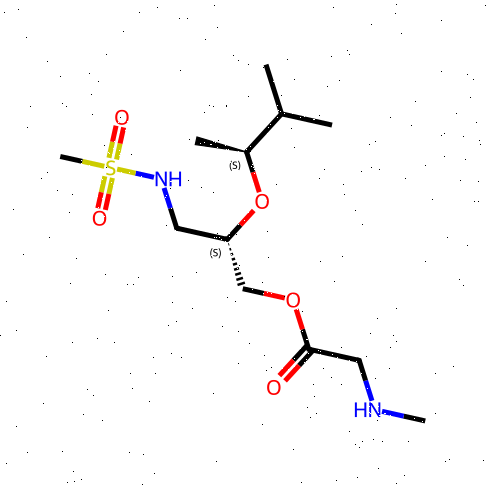 CNCC(=O)OC[C@H](CNS(C)(=O)=O)O[C@@H](C)C(C)C